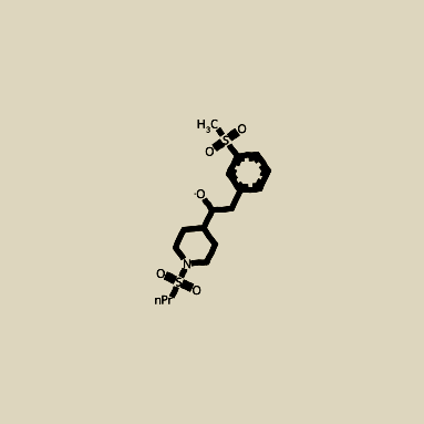 CCCS(=O)(=O)N1CCC(C([O])Cc2cccc(S(C)(=O)=O)c2)CC1